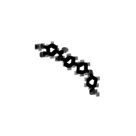 Cc1ccc(C(=O)Nc2ccc(-c3ccc(OC4CCN(C)CC4)cc3)cc2)cc1Cl